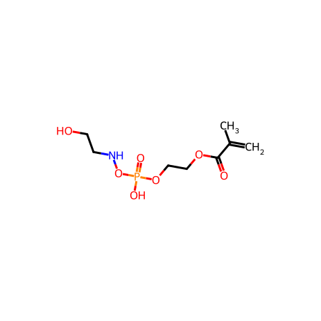 C=C(C)C(=O)OCCOP(=O)(O)ONCCO